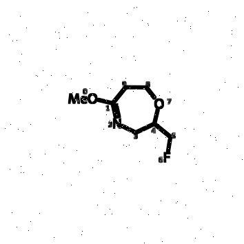 COC1=NCC(CF)OCC1